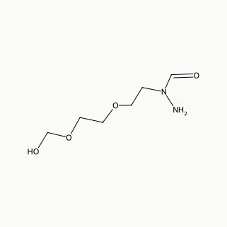 NN(C=O)CCOCCOCO